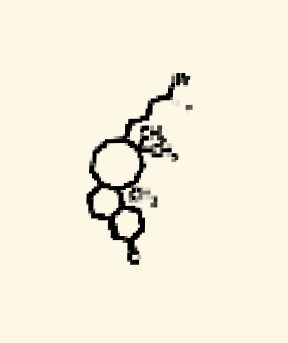 CC[C@H](CCCC1CCCC2CCC3=CC(=O)CC[C@]3(C)C2CCC1(C)C)C(C)C